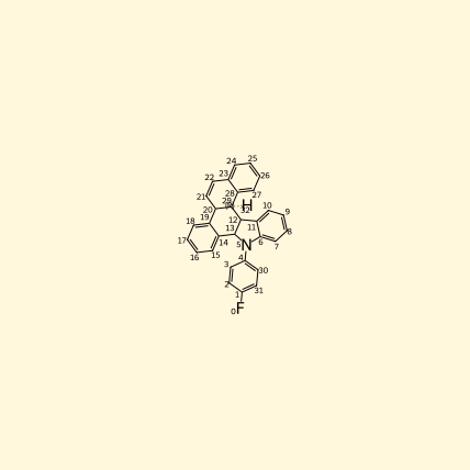 Fc1ccc(N2c3ccccc3C3C2c2ccccc2C2C=Cc4ccccc4[C@H]23)cc1